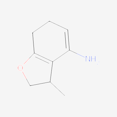 CC1COC2=C1C(N)=CCC2